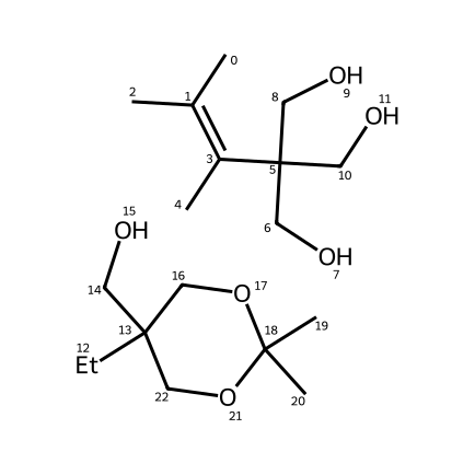 CC(C)=C(C)C(CO)(CO)CO.CCC1(CO)COC(C)(C)OC1